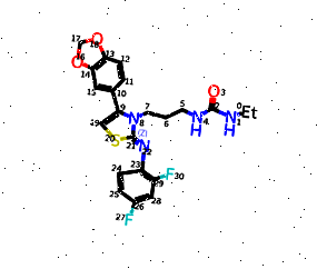 CCNC(=O)NCCCn1c(-c2ccc3c(c2)OCO3)cs/c1=N\c1ccc(F)cc1F